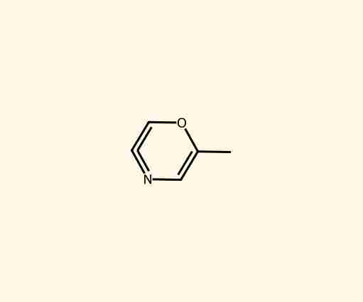 CC1=CN=C=CO1